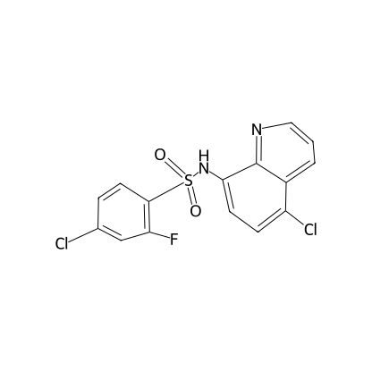 O=S(=O)(Nc1ccc(Cl)c2cccnc12)c1ccc(Cl)cc1F